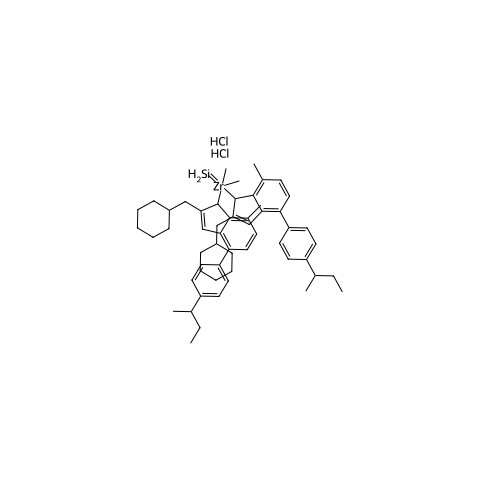 CCC(C)c1ccc(-c2ccc(C)c3c2C=C(CC2CCCCC2)[CH]3[Zr]([CH3])([CH3])(=[SiH2])[CH]2C(CC3CCCCC3)=Cc3c(-c4ccc(C(C)CC)cc4)ccc(C)c32)cc1.Cl.Cl